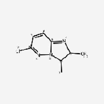 CC1C(C(F)(F)F)N=C2C=CC(Cl)=NN21